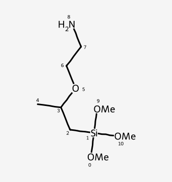 CO[Si](CC(C)OCCN)(OC)OC